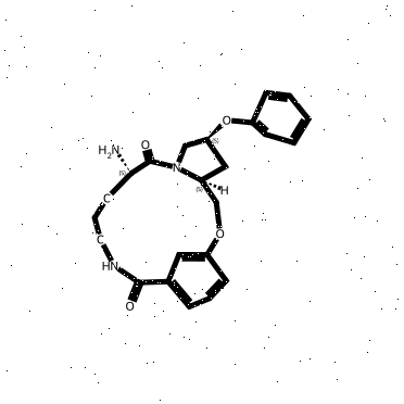 N[C@H]1CCCNC(=O)c2cccc(c2)OC[C@@H]2C[C@H](Oc3ccccc3)CN2C1=O